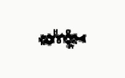 CC(C)c1nn(CC(=O)Nc2ccc3nncn3c2)c(=O)c2cc(C3CC3)nn12